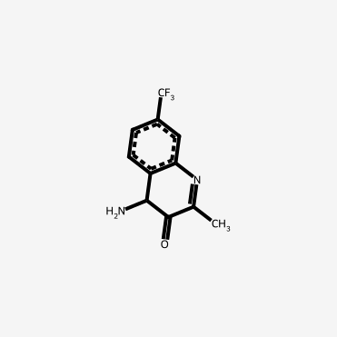 CC1=Nc2cc(C(F)(F)F)ccc2C(N)C1=O